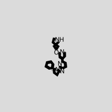 c1ccc([C@H]2CCc3nc4ccc(-c5ccnc(OC6CC7(CCNC7)C6)c5)nc4n32)cc1